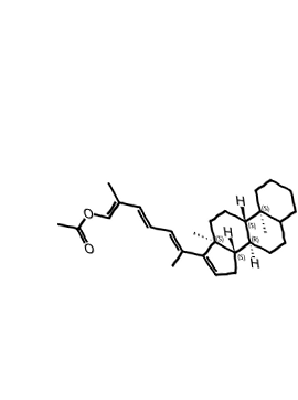 CC(=O)OC=C(C)C=CC=C(C)C1=CC[C@H]2[C@@H]3CCC4CCCC[C@]4(C)[C@H]3CC[C@]12C